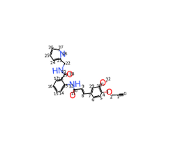 C#CCOc1ccc(C=CC(=O)Nc2ccccc2C(=O)NCc2ccccn2)cc1OC